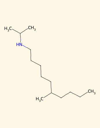 CCCCC(C)CCCCCNC(C)C